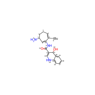 CC(C)(C)C1=CCCC(N)C=C1NC(=O)C1=CNc2ccccc2C1O